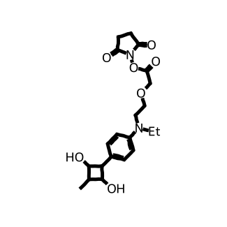 CCN(CCOCC(=O)ON1C(=O)CCC1=O)c1ccc(C2C(O)C(C)C2O)cc1